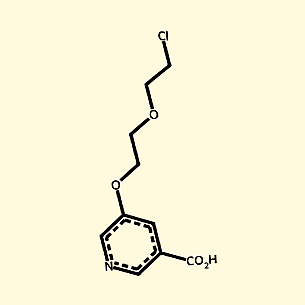 O=C(O)c1cncc(OCCOCCCl)c1